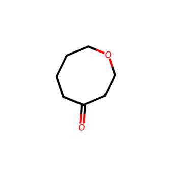 O=C1CCCCOCC1